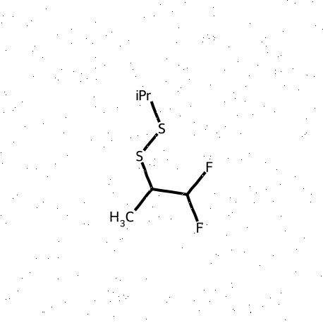 CC(C)SSC(C)C(F)F